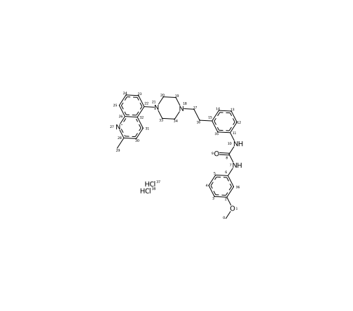 COc1cccc(NC(=O)Nc2cccc(CCN3CCN(c4cccc5nc(C)ccc45)CC3)c2)c1.Cl.Cl